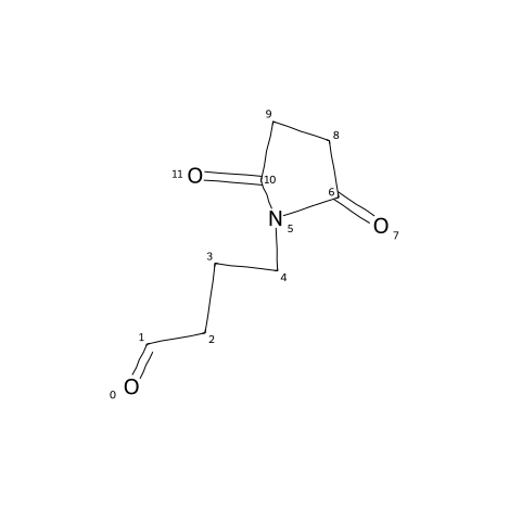 O=CCCCN1C(=O)CCC1=O